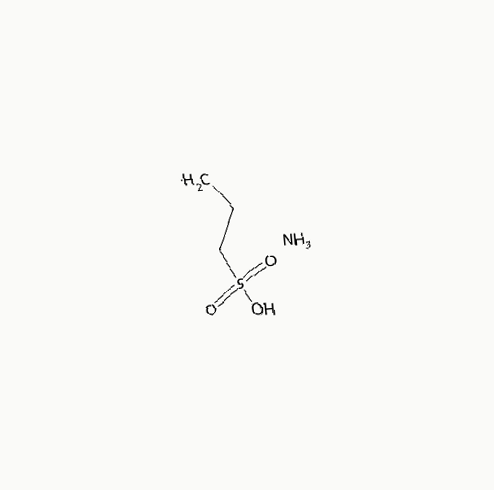 N.[CH2]CCS(=O)(=O)O